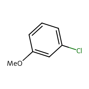 [CH2-][OH+]c1cccc(Cl)c1